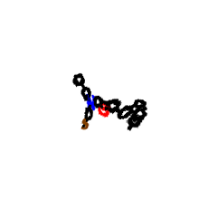 CC1CC2CC(C)C3(c4ccccc4-c4cc(-c5ccc6c(c5)oc5cc(N(c7ccc(-c8ccccc8)cc7)c7ccc(S(C)(C)C)cc7)ccc56)ccc43)C(C1)C2